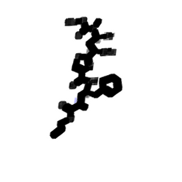 C=CCOC(=O)/C(C)=C/[C@H](Cc1ccccc1)NC(=O)c1csc([C@@H](C[C@H](C(C)C)N(C)C(=O)OC(C)(C)C)OC(C)=O)n1